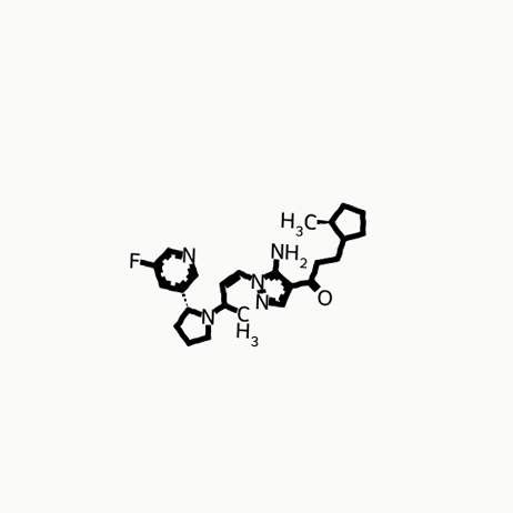 CC(/C=C\n1ncc(C(=O)CCC2CCC[C@@H]2C)c1N)N1CCC[C@@H]1c1cncc(F)c1